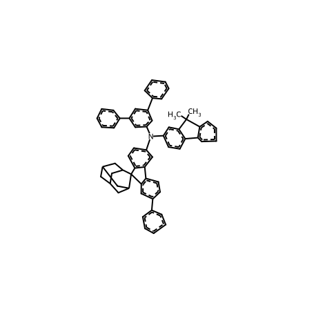 CC1(C)c2ccccc2-c2ccc(N(c3cc(-c4ccccc4)cc(-c4ccccc4)c3)c3ccc4c(c3)-c3ccc(-c5ccccc5)cc3C43C4CC5CC(C4)CC3C5)cc21